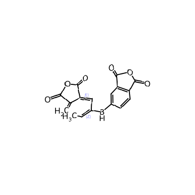 C=C1C(=O)OC(=O)/C1=C/C(Bc1ccc2c(c1)C(=O)OC2=O)=C\C